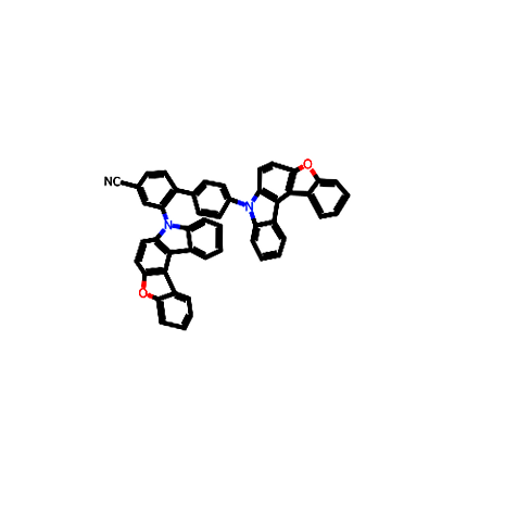 N#Cc1ccc(-c2ccc(-n3c4ccccc4c4c5c(ccc43)oc3ccccc35)cc2)c(-n2c3ccccc3c3c4c(ccc32)oc2ccccc24)c1